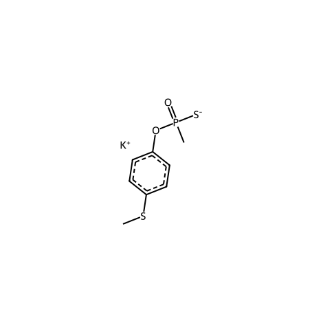 CSc1ccc(OP(C)(=O)[S-])cc1.[K+]